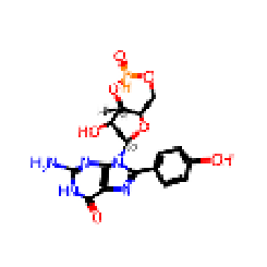 Nc1nc2c(nc(-c3ccc(O)cc3)n2[C@@H]2OC3CO[PH](=O)O[C@H]3C2O)c(=O)[nH]1